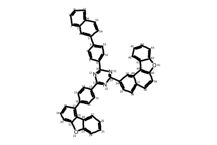 c1ccc2cc(-c3ccc(-c4nc(-c5ccc(-c6cccc7oc8ccccc8c67)cc5)nc(-c5ccc6ccc7oc8ccccc8c7c6c5)n4)cc3)ccc2c1